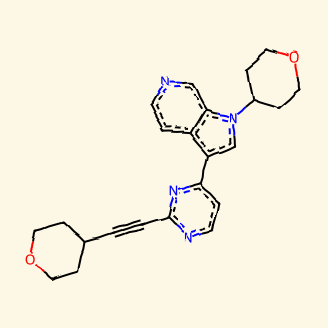 C(#CC1CCOCC1)c1nccc(-c2cn(C3CCOCC3)c3cnccc23)n1